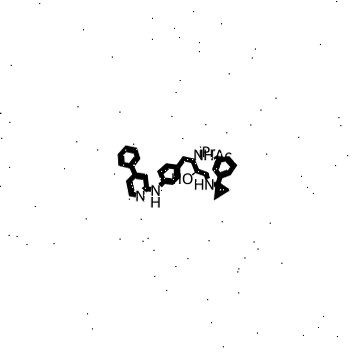 CC(=O)N[C@@H](Cc1ccc(Nc2cc(-c3ccccc3)ccn2)cc1)[C@@H](O)CNC1(c2cccc(C(C)C)c2)CC1